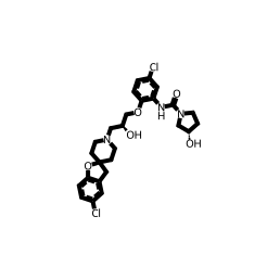 O=C(Nc1cc(Cl)ccc1OC[C@@H](O)CN1CCC2(CC1)Cc1cc(Cl)ccc1O2)N1CC[C@H](O)C1